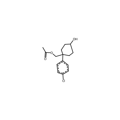 CC(=O)OCC1(c2ccc(Cl)cc2)CCC(O)CC1